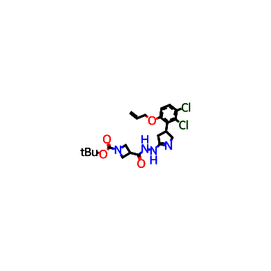 C=CCOc1ccc(Cl)c(Cl)c1C1CN=C(NNC(=O)C2CN(C(=O)OC(C)(C)C)C2)C1